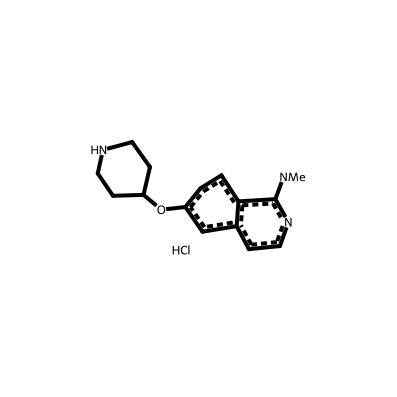 CNc1nccc2cc(OC3CCNCC3)ccc12.Cl